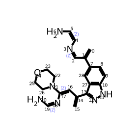 C=C(/C=N\C=C/N)c1ccc2[nH]nc(C(=C)/C=C(\N=C/N)N3CCOCC3)c2c1